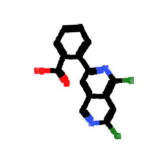 O=C(O)c1ccccc1-c1cc2cnc(Cl)cc2c(Cl)n1